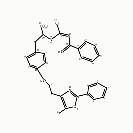 Cc1oc(-c2ccccc2)nc1CCOc1ccc(CC(N/C(=C\C(=O)c2ccccc2)C(F)(F)F)C(=O)O)cc1